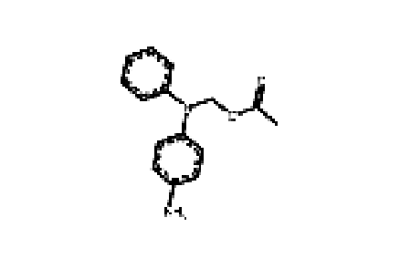 CC(=O)OCN(c1ccccc1)c1ccc(N)cc1